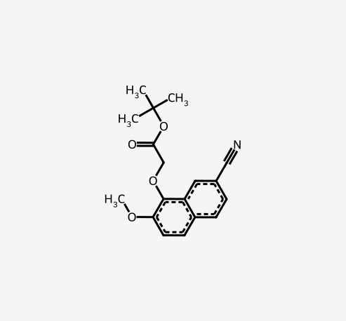 COc1ccc2ccc(C#N)cc2c1OCC(=O)OC(C)(C)C